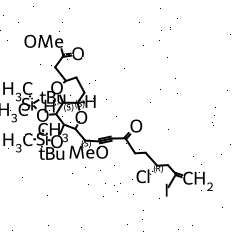 C=C(I)C[C@H](Cl)CCC(=O)C#C[C@H](OC)C1O[C@H]2CCC(CC(=O)OC)O[C@@H]2C(O[Si](C)(C)C(C)(C)C)C1O[Si](C)(C)C(C)(C)C